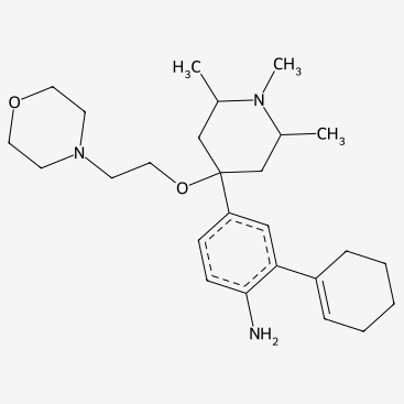 CC1CC(OCCN2CCOCC2)(c2ccc(N)c(C3=CCCCC3)c2)CC(C)N1C